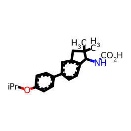 CC(C)Oc1ccc(-c2ccc3c(c2)CC(C)(C)C3NC(=O)O)cc1